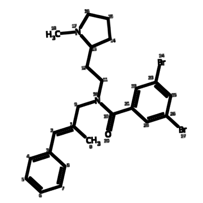 C/C(=C\c1ccccc1)CN(CCC1CCCN1C)C(=O)c1cc(Br)cc(Br)c1